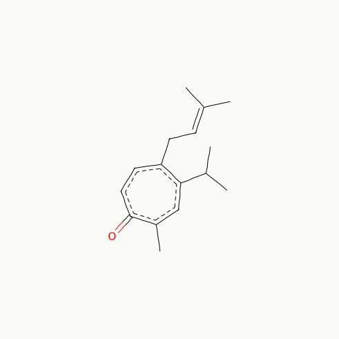 CC(C)=CCc1ccc(=O)c(C)cc1C(C)C